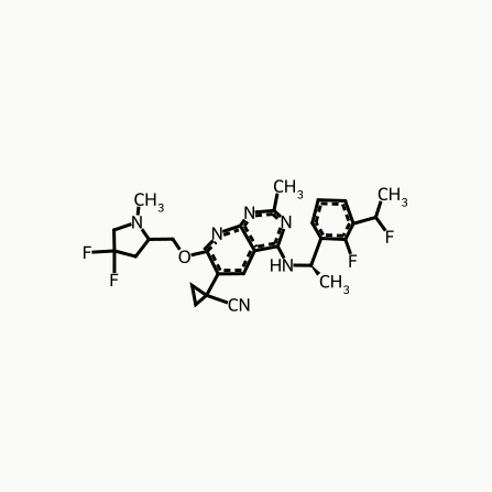 Cc1nc(N[C@H](C)c2cccc(C(C)F)c2F)c2cc(C3(C#N)CC3)c(OCC3CC(F)(F)CN3C)nc2n1